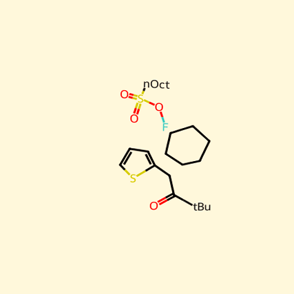 C1CCCCC1.CC(C)(C)C(=O)Cc1cccs1.CCCCCCCCS(=O)(=O)OF